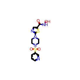 O=C(NO)c1cnc(N2CCN(S(=O)(=O)c3cccnc3)CC2)s1